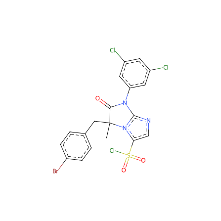 CC1(Cc2ccc(Br)cc2)C(=O)N(c2cc(Cl)cc(Cl)c2)c2ncc(S(=O)(=O)Cl)n21